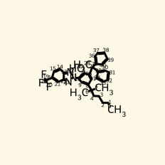 CCCCCC(C)(C)c1cc(-n2nc3ccc(C(F)(F)F)cc3n2)c(O)c(C(C)(c2ccccc2)c2ccccc2)c1